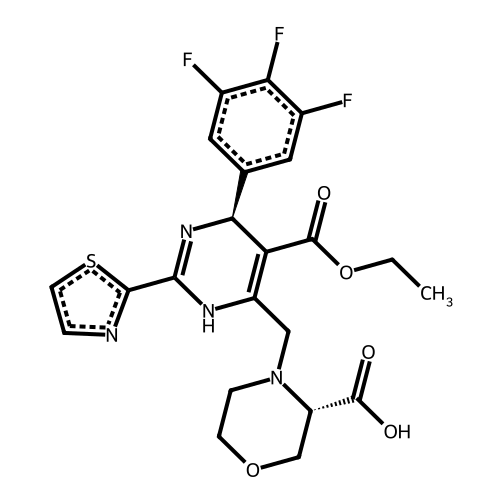 CCOC(=O)C1=C(CN2CCOC[C@H]2C(=O)O)NC(c2nccs2)=N[C@H]1c1cc(F)c(F)c(F)c1